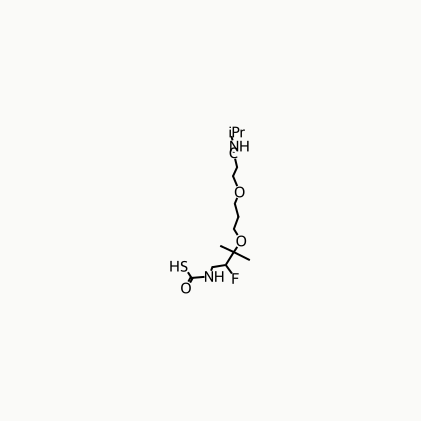 CC(C)NCCCOCCCOC(C)(C)C(F)CNC(=O)S